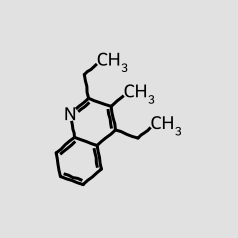 CCc1nc2ccccc2c(CC)c1C